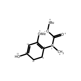 COC1=C(N(C)C(=O)OC(C)(C)C)CCC(O)=C1